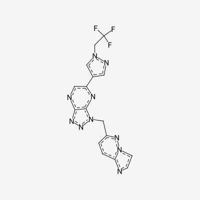 FC(F)(F)Cn1cc(-c2cnc3nnn(Cc4ccc5nccn5n4)c3n2)cn1